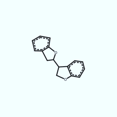 [c]1cccc2c1CC(C1COc3ccccc31)O2